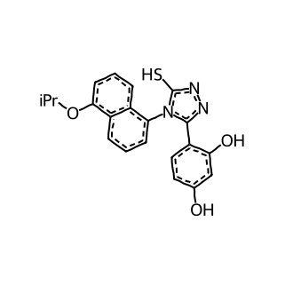 CC(C)Oc1cccc2c(-n3c(S)nnc3-c3ccc(O)cc3O)cccc12